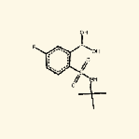 CC(C)(C)NS(=O)(=O)c1ccc(F)cc1B(O)O